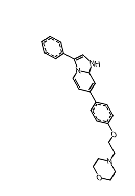 C1=CN2C(c3ccccc3)=CNC2C=C1c1ccc(OCCN2CCOCC2)cc1